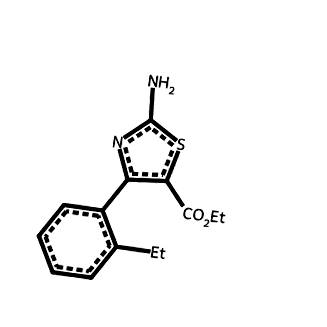 CCOC(=O)c1sc(N)nc1-c1ccccc1CC